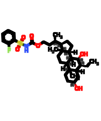 CC[C@H]1[C@@H](O)[C@@H]2[C@H](CC[C@]3(C)[C@@H]([C@H](C)CCOC(=O)NS(=O)(=O)c4ccccc4F)CC[C@@H]23)[C@@]2(C)CC[C@@H](O)C[C@@H]12